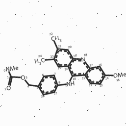 CNC(=O)OCc1ccc(Nc2c3ccc(OC)cc3nc3cc(C)c(C)cc23)cc1